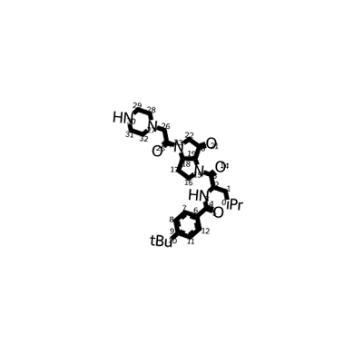 CC(C)CC(NC(=O)c1ccc(C(C)(C)C)cc1)C(=O)N1CCC2C1C(=O)CN2C(=O)CN1CCNCC1